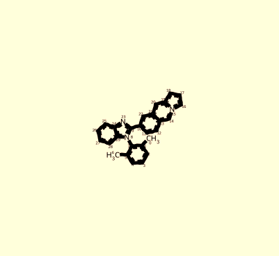 Cc1cccc(C)c1-n1c(-c2ccc3cn4cccc4cc3c2)nc2ccccc21